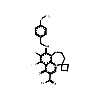 COc1ccc(CNc2c(F)c(N)c3c(=O)c(C(=O)O)cn4c3c2OCCC42CCC2)cc1